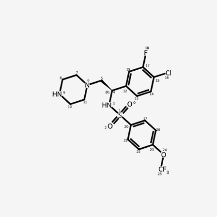 O=S(=O)(N[C@@H](CN1CCNCC1)c1ccc(Cl)c(F)c1)c1ccc(OC(F)(F)F)cc1